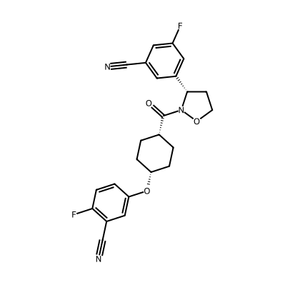 N#Cc1cc(F)cc([C@@H]2CCON2C(=O)[C@H]2CC[C@@H](Oc3ccc(F)c(C#N)c3)CC2)c1